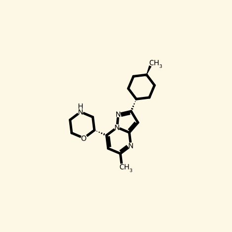 Cc1cc([C@H]2CNCCO2)n2nc([C@H]3CC[C@H](C)CC3)cc2n1